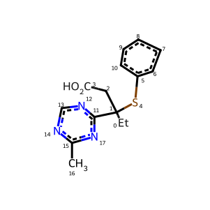 CCC(CC(=O)O)(Sc1ccccc1)c1ncnc(C)n1